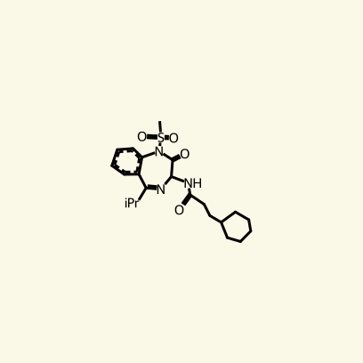 CC(C)C1=NC(NC(=O)CCC2CCCCC2)C(=O)N(S(C)(=O)=O)c2ccccc21